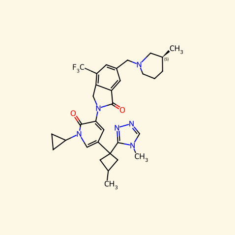 CC1CC(c2cc(N3Cc4c(cc(CN5CCC[C@H](C)C5)cc4C(F)(F)F)C3=O)c(=O)n(C3CC3)c2)(c2nncn2C)C1